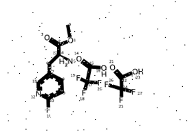 COC(=O)[C@@H](N)Cc1ccc(F)nc1.O=C(O)C(F)(F)F.O=C(O)C(F)(F)F